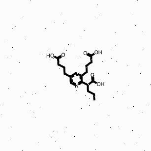 CCCC(C(=O)O)c1ncc(CCCC(=O)O)cc1CCCC(=O)O